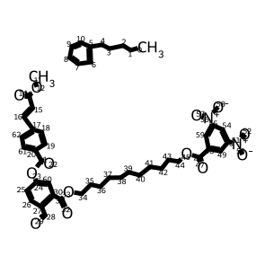 CCCCCc1ccccc1.COC(=O)C=Cc1ccc(C(=O)Oc2ccc(C=O)c(C(=O)OCCCCCCCCCCCOC(=O)c3cc([N+](=O)[O-])cc([N+](=O)[O-])c3)c2)cc1